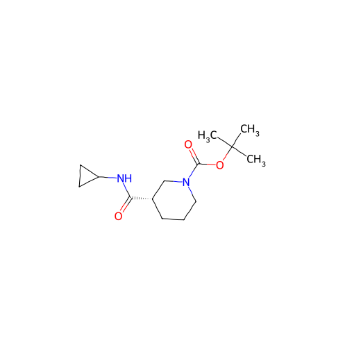 CC(C)(C)OC(=O)N1CCC[C@H](C(=O)NC2CC2)C1